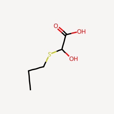 CCCSC(O)C(=O)O